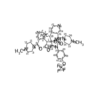 CC(c1ccncc1C(=O)N1CCN(C)CC1)C1(C(C)c2ccncc2C(=O)N2CCN(C)CC2)NC(=O)N(c2ccc(OC(F)(F)F)cc2)C1=O